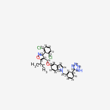 CC(C)c1onc(-c2c(Cl)cccc2Cl)c1COc1ccc2c(ccn2Cc2cccc(-c3nnn[nH]3)c2)c1